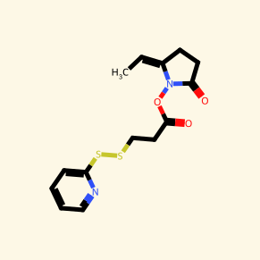 C/C=C1/CCC(=O)N1OC(=O)CCSSc1ccccn1